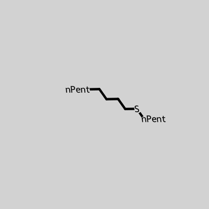 CCCCCCCCCSCCCCC